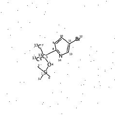 C[Si](C)(C)O[13C]([13CH3])([13CH3])c1ccc(Br)cn1